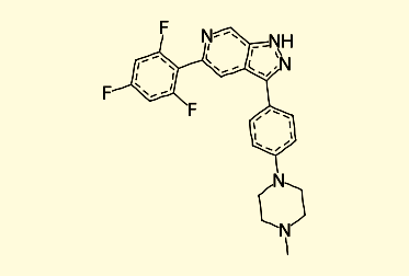 CN1CCN(c2ccc(-c3n[nH]c4cnc(-c5c(F)cc(F)cc5F)cc34)cc2)CC1